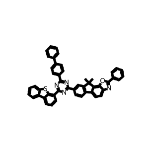 CC1(C)c2cc(-c3nc(-c4ccc(-c5ccccc5)cc4)nc(-c4cccc5c4sc4ccccc45)n3)ccc2-c2ccc3nc(-c4ccccc4)oc3c21